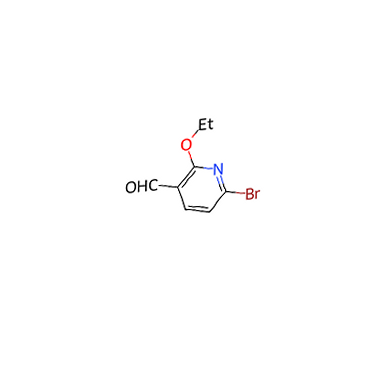 CCOc1nc(Br)ccc1C=O